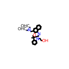 CC1(C)c2ccccc2N(CCO)C12C=Nc1c(c(CN(CC=O)CC=O)cc3ccccc13)O2